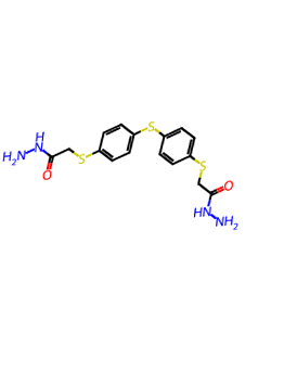 NNC(=O)CSc1ccc(Sc2ccc(SCC(=O)NN)cc2)cc1